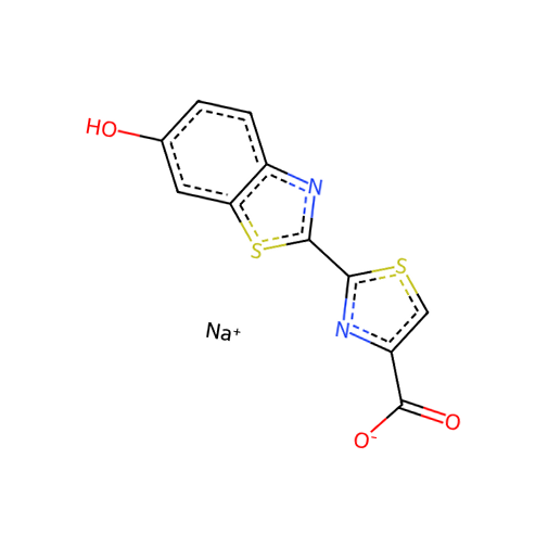 O=C([O-])c1csc(-c2nc3ccc(O)cc3s2)n1.[Na+]